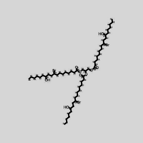 CCCCCCC(O)CCC(Br)CCCCCCCCC(=O)OC(COC(=O)CCCCCCCC(Br)CCC(O)CCCCCC)COC1OC1CCCCCCCC(Br)CCC(O)CCCCCC